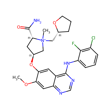 COc1cc2ncnc(Nc3cccc(Cl)c3F)c2cc1O[C@H]1C[C@H](C(N)=O)[N+](C)(C[C@H]2CCCO2)C1